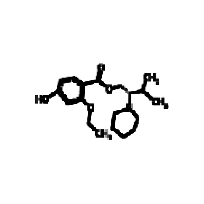 CCOc1cc(O)ccc1C(=O)OC[C@H](C(C)C)N1CCCCC1